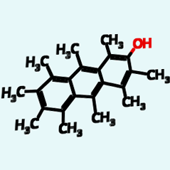 Cc1c(C)c(C)c2c(C)c3c(C)c(O)c(C)c(C)c3c(C)c2c1C